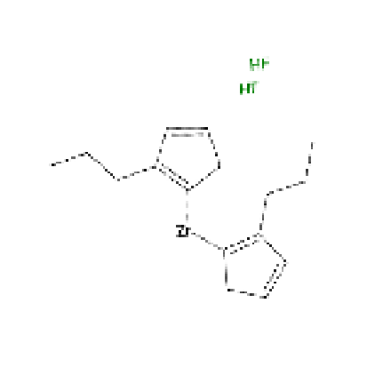 CCCC1=[C]([Zr][C]2=C(CCC)C=CC2)CC=C1.F.F